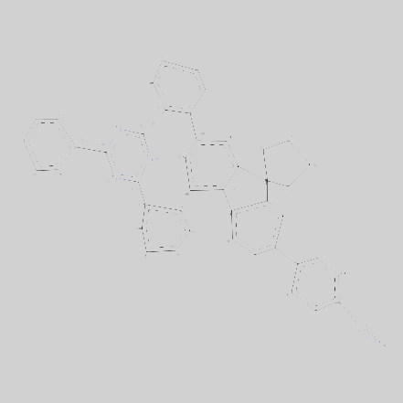 N#Cc1ccc(-c2ccc3c(c2)C2(CCCC2)c2cc(-c4ccccc4-c4nc(-c5ccccc5)nc(-c5ccccc5)n4)ccc2-3)cc1